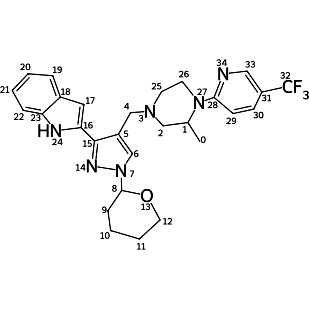 CC1CN(Cc2cn(C3CCCCO3)nc2-c2cc3ccccc3[nH]2)CCN1c1ccc(C(F)(F)F)cn1